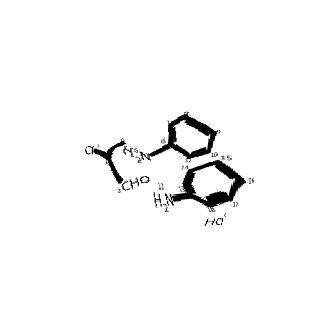 CC(Cl)C=O.Cl.Nc1ccccc1.Nc1ccccc1